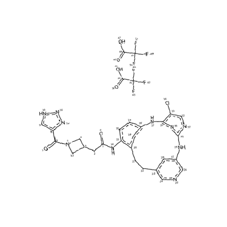 O=C(CC1CN(C(=O)c2c[nH]nn2)C1)Nc1ccc2cc1CCc1cncc(c1)Nc1ncc(Cl)c(n1)N2.O=C(O)C(F)(F)F.O=C(O)C(F)(F)F